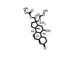 CCCOC(=O)OC(=O)C1(OC(=O)OCCC)CC[C@H]2[C@@H]3CCC4=CC(=O)CC[C@]4(C)[C@@H]3C(O)C[C@@]21C